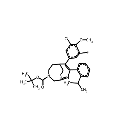 COc1c(F)cc(C2=C(c3ccccc3C(C)C)N=C3CCC2CCN(C(=O)OC(C)(C)C)C3)cc1Cl